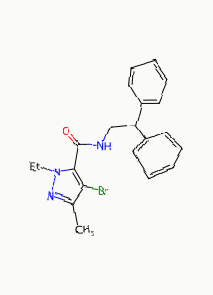 CCn1nc(C)c(Br)c1C(=O)NCC(c1ccccc1)c1ccccc1